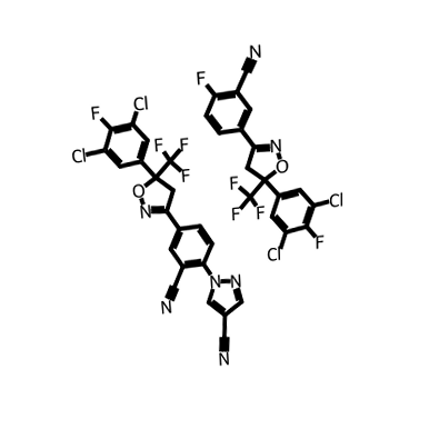 N#Cc1cc(C2=NOC(c3cc(Cl)c(F)c(Cl)c3)(C(F)(F)F)C2)ccc1F.N#Cc1cnn(-c2ccc(C3=NOC(c4cc(Cl)c(F)c(Cl)c4)(C(F)(F)F)C3)cc2C#N)c1